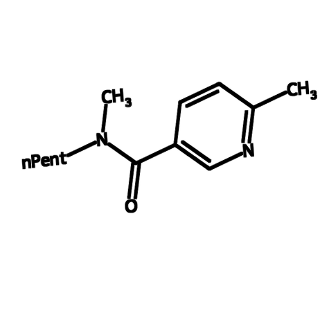 CCCCCN(C)C(=O)c1ccc(C)nc1